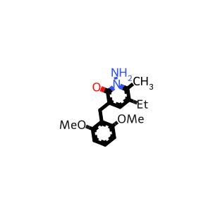 CCc1cc(Cc2c(OC)cccc2OC)c(=O)n(N)c1C